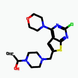 O=CC(O)N1CCN(Cc2cc3c(N4CCOCC4)nc(Cl)nc3s2)CC1